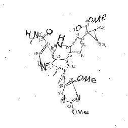 COC(=O)C1(c2cccc(Nc3c(C(N)=O)cnc4cc(-c5cnc(OC)nc5OC)ccc34)c2)CC1